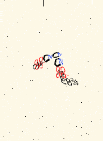 O=[As]([O-])([O-])[O-].O=[As]([O-])([O-])[O-].[Co+2].[Co+2].[Co+2].c1ccncc1.c1ccncc1.c1ccncc1